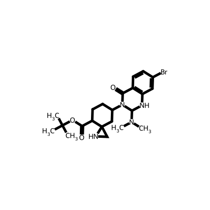 CN(C)C1Nc2cc(Br)ccc2C(=O)N1C1CCC(C(=O)OC(C)(C)C)C2(CN2)C1